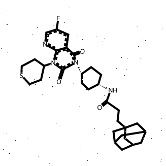 O=C(CCC12CC3CC(CC(C3)C1)C2)N[C@H]1CC[C@@H](n2c(=O)c3cc(F)cnc3n(C3CCSCC3)c2=O)CC1